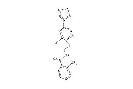 O=C(NCCc1ncc(-n2cncn2)cc1Cl)c1ccccc1C(F)(F)F